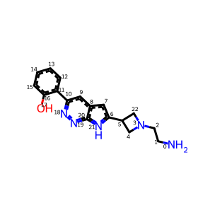 NCCN1CC(c2cc3cc(-c4ccccc4O)nnc3[nH]2)C1